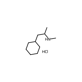 CNC(C)CC1CCCCC1.Cl